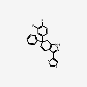 Fc1ccc(C2(c3ccccc3)C=Cc3c(-c4cncs4)n[nH]c3C2)cc1F